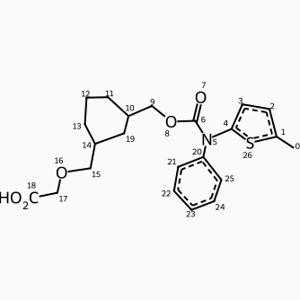 Cc1ccc(N(C(=O)OCC2CCCC(COCC(=O)O)C2)c2ccccc2)s1